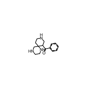 O=C(c1ccccc1)C1CNCCC12CNCCN2